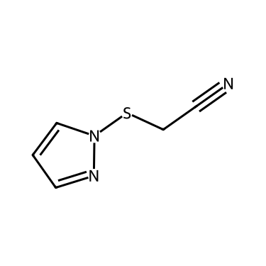 N#CCSn1cccn1